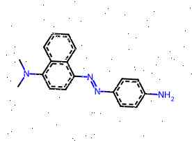 CN(C)c1ccc(N=Nc2ccc(N)cc2)c2ccccc12